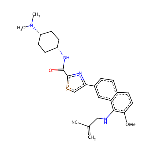 C=C(C#N)CNc1c(OC)ccc2ccc(-c3csc(C(=O)N[C@H]4CC[C@@H](N(C)C)CC4)n3)cc12